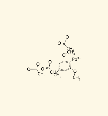 CC(=O)[O-].CC(=O)[O-].CC(=O)[O-].COc1cc(C)cc(OC)[c]1[Pb+3]